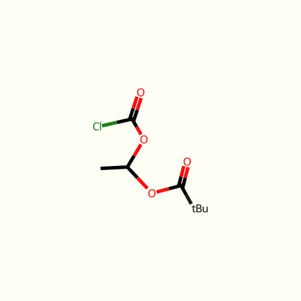 CC(OC(=O)Cl)OC(=O)C(C)(C)C